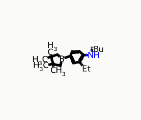 CCc1cc(B2CC(C)(C)C(C)(C)C2)ccc1NC(C)(C)C